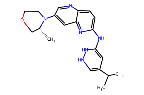 CC(C)C1=CNNC(Nc2ccc3ncc(N4CCOC[C@H]4C)cc3n2)=C1